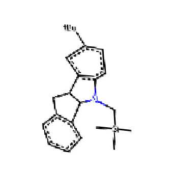 CC(C)(C)c1ccc2c(c1)C1Cc3ccccc3C1N2C[Si](C)(C)C